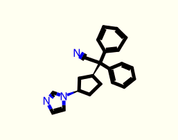 N#CC(c1ccccc1)(c1ccccc1)[C@H]1CC[C@@H](n2ccnc2)C1